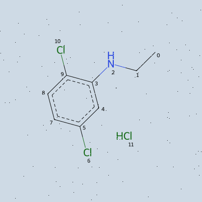 CCNc1cc(Cl)ccc1Cl.Cl